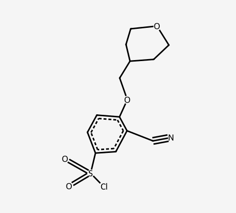 N#Cc1cc(S(=O)(=O)Cl)ccc1OCC1CCOCC1